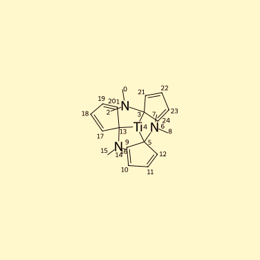 CN(C)[C]1([Ti]([C]2(N(C)C)C=CC=C2)[C]2(N(C)C)C=CC=C2)C=CC=C1